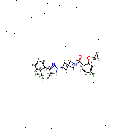 Cc1cn(C2CC3(C2)CN(C(=O)c2ccc(F)cc2OC2CC2)C3)nc1-c1ccccc1C(F)(F)F